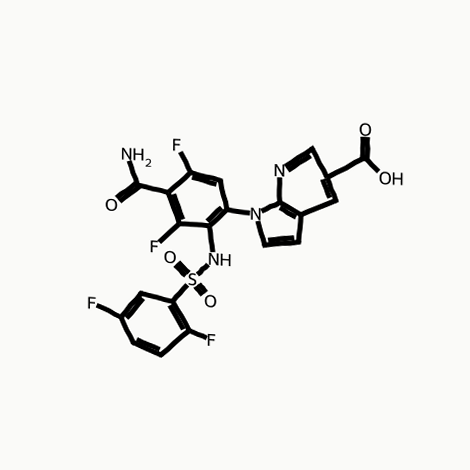 NC(=O)c1c(F)cc(-n2ccc3cc(C(=O)O)cnc32)c(NS(=O)(=O)c2cc(F)ccc2F)c1F